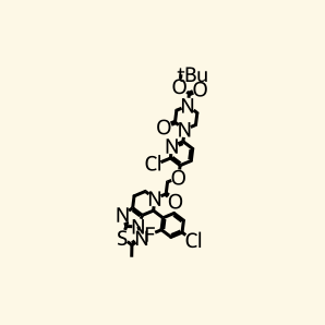 Cc1nn2c3c(nc2s1)CCN(C(=O)COc1ccc(N2CCN(C(=O)OC(C)(C)C)CC2=O)nc1Cl)C3c1ccc(Cl)cc1F